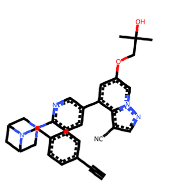 C#Cc1ccc(CN2C3CC2CN(c2ccc(-c4cc(OCC(C)(C)O)cn5ncc(C#N)c45)cn2)C3)cc1